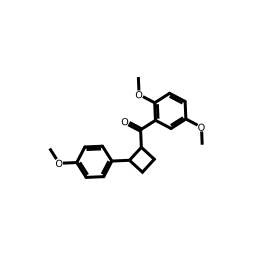 COc1ccc(C2CCC2C(=O)c2cc(OC)ccc2OC)cc1